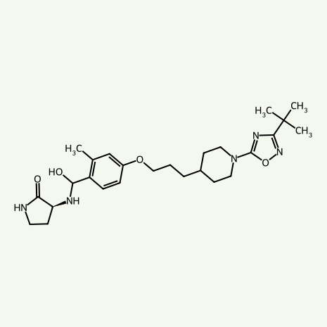 Cc1cc(OCCCC2CCN(c3nc(C(C)(C)C)no3)CC2)ccc1C(O)N[C@H]1CCNC1=O